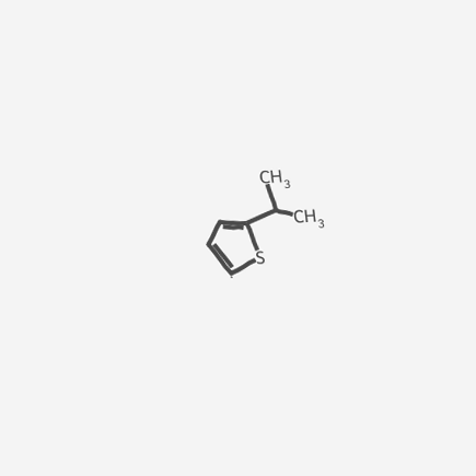 CC(C)c1cc[c]s1